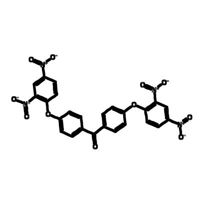 O=C(c1ccc(Oc2ccc([N+](=O)[O-])cc2[N+](=O)[O-])cc1)c1ccc(Oc2ccc([N+](=O)[O-])cc2[N+](=O)[O-])cc1